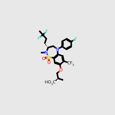 C[C@H](COc1cc2c(cc1C(F)(F)F)N(c1ccc(F)cc1)C[C@@H](CCC(C)(F)F)N(C)S2(=O)=O)C(=O)O